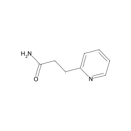 NC(=O)C[CH]c1ccccn1